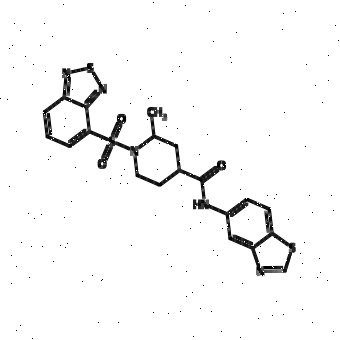 CC1CC(C(=O)Nc2ccc3scnc3c2)CCN1S(=O)(=O)c1cccc2nsnc12